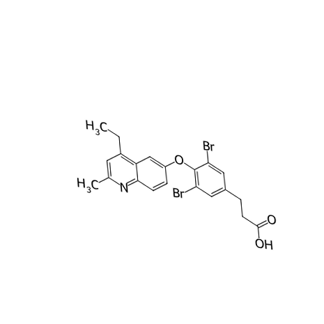 CCc1cc(C)nc2ccc(Oc3c(Br)cc(CCC(=O)O)cc3Br)cc12